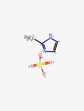 Cc1ncc[nH]1.O=S(=O)([O-])[O-].[Zn+2]